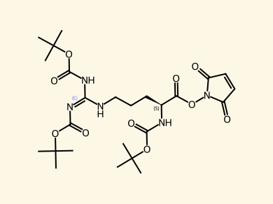 CC(C)(C)OC(=O)/N=C(\NCCC[C@H](NC(=O)OC(C)(C)C)C(=O)ON1C(=O)C=CC1=O)NC(=O)OC(C)(C)C